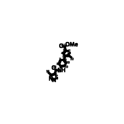 COC(=O)c1cc(-c2ccc(NC(=O)c3snnc3C)cc2)c(C)s1